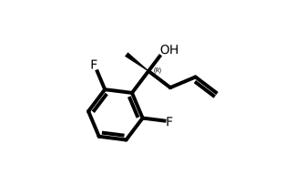 C=CC[C@@](C)(O)c1c(F)cccc1F